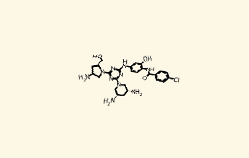 N[C@@H]1C[C@H](N)CN(c2nc(Nc3ccc(NC(=O)c4ccc(Cl)cc4)c(O)c3)nc(N3C[C@@H](N)C[C@H]3CO)n2)C1